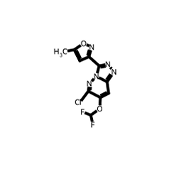 Cc1cc(-c2nnc3cc(OC(F)F)c(Cl)nn23)no1